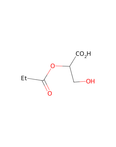 CCC(=O)OC(CO)C(=O)O